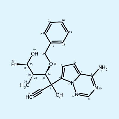 C#CC(O)(c1ccc2c(N)ncnn12)[C@H](OCc1ccccc1)[C@H](C)[C@H](O)CC